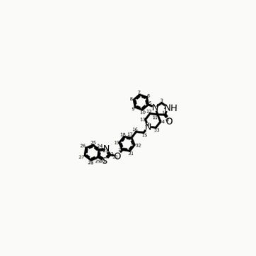 O=C1NCN(c2ccccc2)C12CCN(CCc1ccc(Oc3nc4ccccc4s3)cc1)CC2